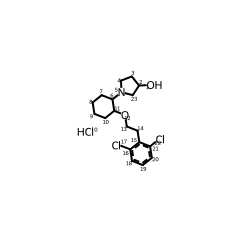 Cl.OC1CCN(C2CCCCC2OCCc2c(Cl)cccc2Cl)C1